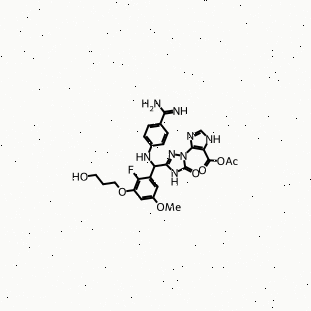 COc1cc(OCCCO)c(F)c(C(Nc2ccc(C(=N)N)cc2)c2nn(-c3nc[nH]c3C(=O)OC(C)=O)c(=O)[nH]2)c1